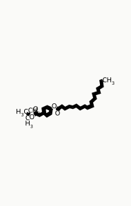 CCCCCCCC/C=C\CCCCCCCC(=O)Oc1ccc(CC(=O)OC(C)(C)C)cc1